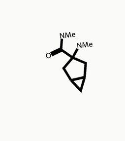 CNC(=O)C1(NC)CC2CC2C1